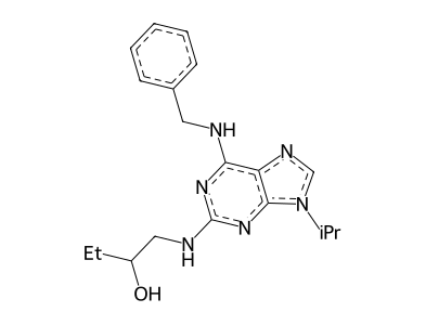 CCC(O)CNc1nc(NCc2ccccc2)c2ncn(C(C)C)c2n1